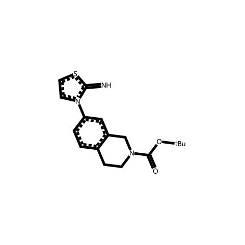 CC(C)(C)OC(=O)N1CCc2ccc(-n3ccsc3=N)cc2C1